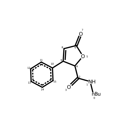 CCCCNC(=O)C1OC(=O)C=C1c1ccccc1